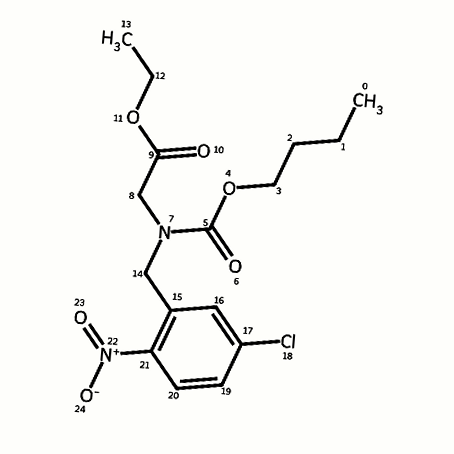 CCCCOC(=O)N(CC(=O)OCC)Cc1cc(Cl)ccc1[N+](=O)[O-]